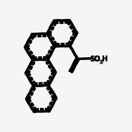 C=C(c1cccc2ccc3cc4ccccc4cc3c12)S(=O)(=O)O